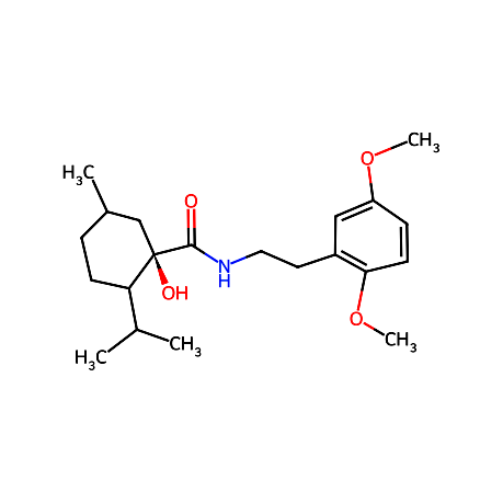 COc1ccc(OC)c(CCNC(=O)[C@@]2(O)CC(C)CCC2C(C)C)c1